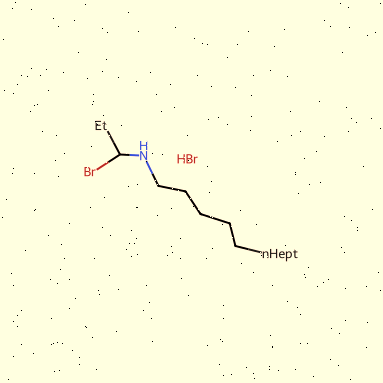 Br.CCCCCCCCCCCCNC(Br)CC